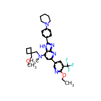 CCOc1ncc(-c2cc(N(C)CC3(COC)CCC3)c3[nH]c(-c4ccc(N5CCCCC5)cc4)nc3n2)cc1C(F)(F)F